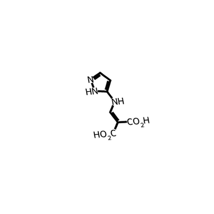 O=C(O)C(=CNc1ccn[nH]1)C(=O)O